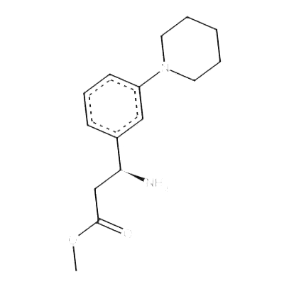 COC(=O)C[C@H](N)c1cccc(N2CCCCC2)c1